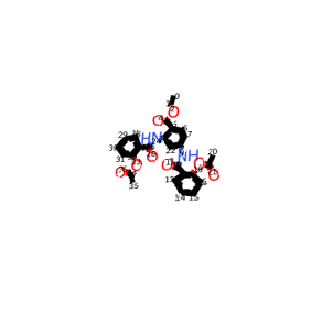 CCOC(=O)c1ccc(NC(=O)c2ccccc2OC(C)=O)cc1NC(=O)c1ccccc1OC(C)=O